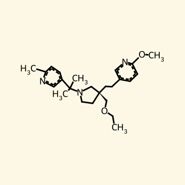 CCOC[C@@]1(CCc2ccc(OC)nc2)CCN(C(C)(C)c2ccc(C)nc2)C1